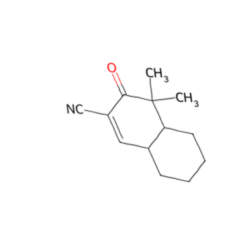 CC1(C)C(=O)C(C#N)=CC2CCCCC21